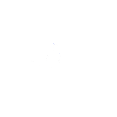 CC(C)(C)Oc1cc(N)ncn1